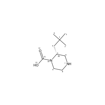 CC(C)(C)C[C@@H]1CNCCN1C(=O)O